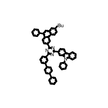 CCC(C)c1ccc2c(c1)cc(-c1ccccc1)c1ccc(-c3nc(-c4cccc(-c5ccc(-c6ccccc6)cc5)c4)nc(-c4ccc5c6ccccc6n(-c6ccccc6)c5c4)n3)cc12